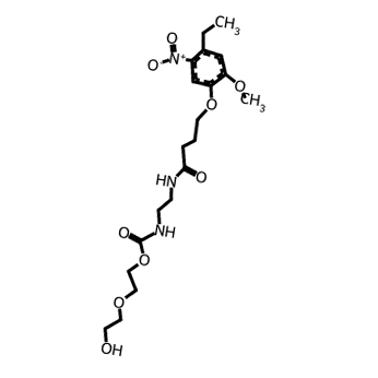 CCc1cc(OC)c(OCCCC(=O)NCCNC(=O)OCCOCCO)cc1[N+](=O)[O-]